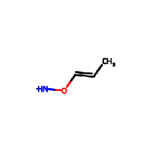 CC=CO[NH]